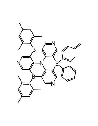 C=C/C=C\C(=C/C)S1(c2ccccc2)c2cncc3c2N2c4c(cncc4B(c4c(C)cc(C)cc4C)c4cncc1c42)B3c1c(C)cc(C)cc1C